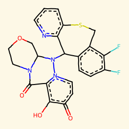 O=C1c2c(O)c(=O)ccn2N(C2c3ccc(F)c(F)c3CSc3cccnc32)C2COCCN12